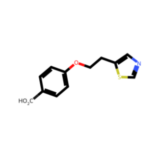 O=C(O)c1ccc(OCCc2cncs2)cc1